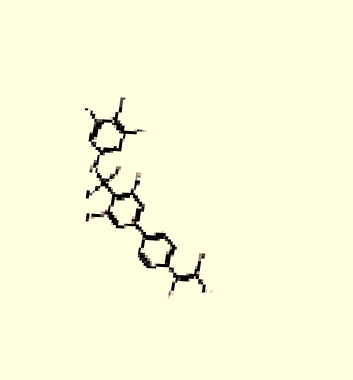 CC/C(F)=C(\F)c1ccc(-c2cc(F)c(C(F)(F)Oc3cc(F)c(F)c(F)c3)c(F)c2)cc1